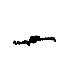 CCCCCCCCCCOC(=O)CNC(=O)Oc1ncc(C(=O)NCCCOCCCC)cc1OC